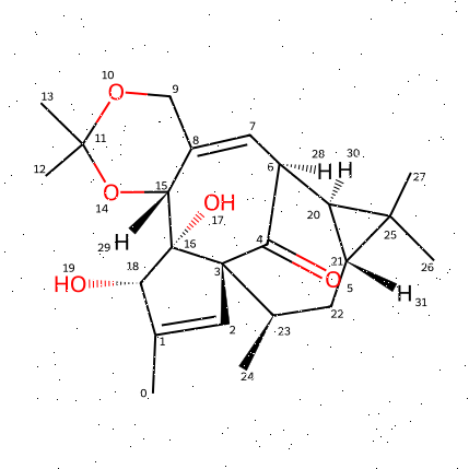 CC1=C[C@]23C(=O)[C@@H](C=C4COC(C)(C)O[C@H]4[C@]2(O)[C@H]1O)[C@@H]1[C@@H](C[C@H]3C)C1(C)C